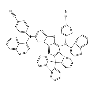 N#Cc1ccc(N(c2ccc3sc4c(N(c5ccc(C#N)cc5)c5cccc6ccccc56)c5c(cc4c3c2)C2(c3ccccc3-c3ccccc32)c2ccccc2-5)c2cccc3ccccc23)cc1